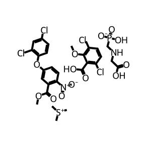 COC(=O)c1cc(Oc2ccc(Cl)cc2Cl)ccc1[N+](=O)[O-].COc1c(Cl)ccc(Cl)c1C(=O)O.C[S+](C)C.O=C(O)CNCP(=O)([O-])O